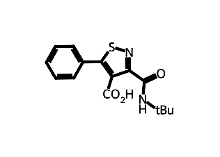 CC(C)(C)NC(=O)c1nsc(-c2ccccc2)c1C(=O)O